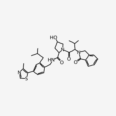 Cc1ncsc1-c1ccc(CNC(=O)C2CC(O)CN2C(=O)C(C(C)C)N2Cc3ccccc3C2=O)c(CC(C)C)c1